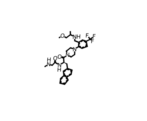 CNCC(=O)N[C@H](Cc1ccc2ccccc2c1)C(=O)N1CCN(c2ccc(C(F)(F)F)cc2CNC(C)COC)CC1